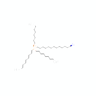 CCCCCCCCC[PH](CCCCCCCCC)(CCCCCCCCC)CCCCCCCCCCCCC#N